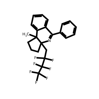 CC12CCCC1(CC(F)(F)C(F)(F)C(F)(F)F)N=C(c1ccccc1)c1ccccc12